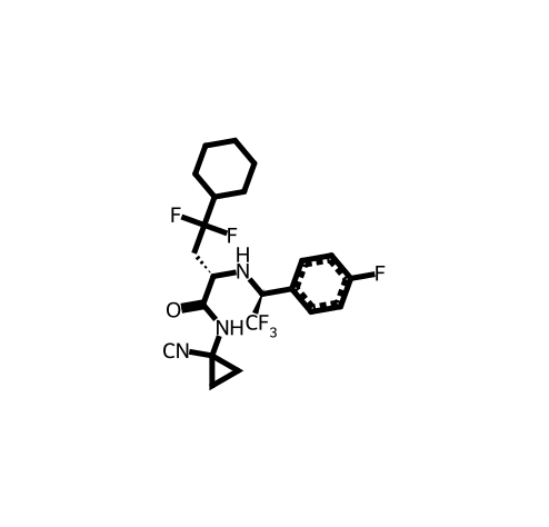 [C-]#[N+]C1(NC(=O)[C@H](CC(F)(F)C2CCCCC2)N[C@@H](c2ccc(F)cc2)C(F)(F)F)CC1